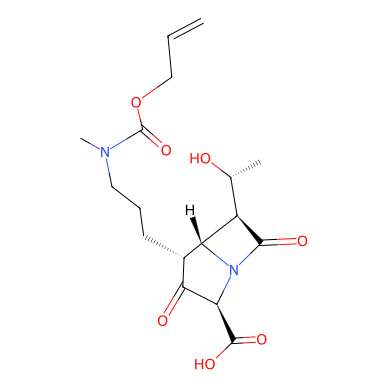 C=CCOC(=O)N(C)CCC[C@H]1C(=O)[C@H](C(=O)O)N2C(=O)[C@H]([C@@H](C)O)[C@@H]12